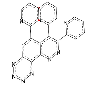 c1ccc(-c2nnc3c(c(-c4ccccn4)cc4nnnnc43)c2-c2ccccn2)nc1